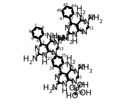 NC1N=C(c2ccccc2)C2=C(N=CN(N)C2N)N1.NC1N=C(c2ccccc2)C2=C(N=CN(N)C2N)N1.NC1N=C(c2ccccc2)C2=C(N=CN(N)C2N)N1.O=P(O)(O)O